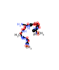 CC[C@@]1(OC(=O)OCc2ccc(NC(=O)[C@H](CCCCN)NC(=O)COCC(=O)NCCOC(C)CCn3cc(CNC(=O)c4coc(-c5cnc(S(C)(=O)=O)nc5)n4)nn3)cc2)C(=O)OCc2c1cc1n(c2=O)Cc2c-1nc1ccccc1c2CCN(C(C)C)S(C)(=O)=O